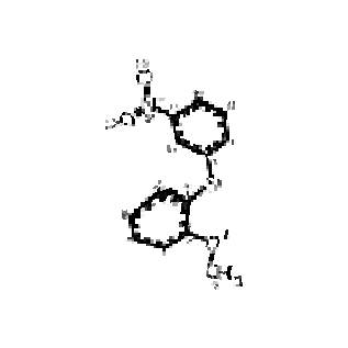 COc1ccccc1Sc1cccc([N+](=O)[O-])c1